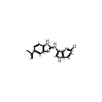 C=C(C)c1ccc2[nH]c(Nc3c[nH]c4ccc(Cl)nc34)nc2c1